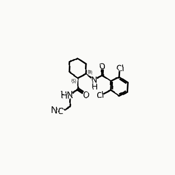 N#CCNC(=O)[C@H]1CCCC[C@H]1NC(=O)c1c(Cl)cccc1Cl